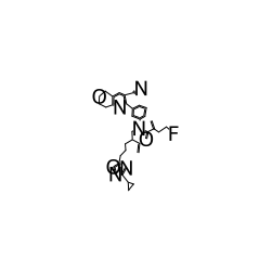 C=CC(CCCc1nc(C2CC2)no1)CN(C(=O)C(=C)CCF)c1cccc(-c2nc3c(cc2C#N)COCC3)c1